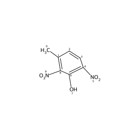 Cc1ccc([N+](=O)[O-])c(O)c1[N+](=O)[O-]